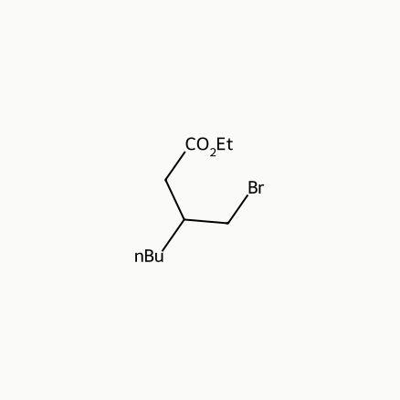 CCCCC(CBr)CC(=O)OCC